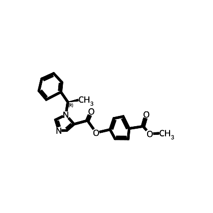 COC(=O)c1ccc(OC(=O)c2cncn2[C@H](C)c2ccccc2)cc1